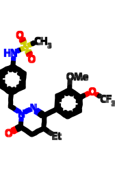 CCC1CC(=O)N(Cc2ccc(NS(C)(=O)=O)cc2)N=C1c1ccc(OC(F)(F)F)c(OC)c1